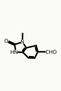 Cn1c(=O)[nH]c2ccc(C=O)cc21